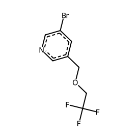 FC(F)(F)COCc1cncc(Br)c1